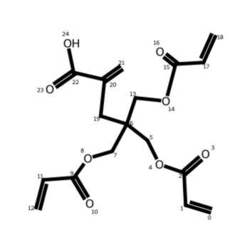 C=CC(=O)OCC(COC(=O)C=C)(COC(=O)C=C)CC(=C)C(=O)O